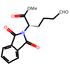 COC(=O)[C@H](CCCC=O)N1C(=O)c2ccccc2C1=O